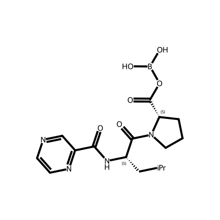 CC(C)C[C@H](NC(=O)c1cnccn1)C(=O)N1CCC[C@H]1C(=O)OB(O)O